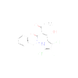 COC(=O)c1c(O)c2c(Cl)c(Cl)c(Cl)n2n(Cc2ccccc2)c1=O